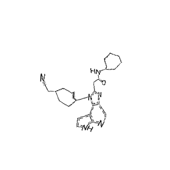 N#CCC1CCC(n2c(CC(=O)NC3CCCCC3)nc3cnc4[nH]ccc4c32)CC1